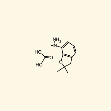 CC1(C)Cc2cccc(NN)c2O1.O=C(O)O